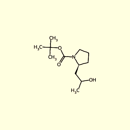 CC(O)C[C@@H]1CCCN1C(=O)OC(C)(C)C